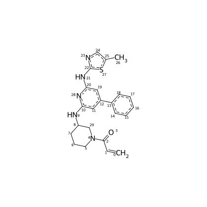 C=CC(=O)N1CCCC(Nc2cc(-c3ccccc3)cc(Nc3ncc(C)s3)n2)C1